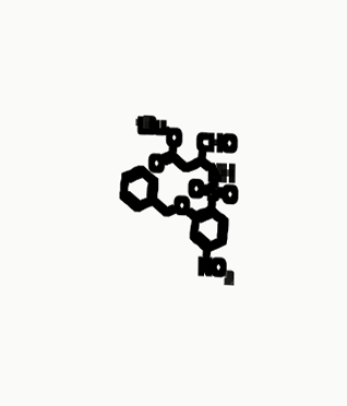 CC(C)(C)OC(=O)CC(C=O)NS(=O)(=O)c1ccc([N+](=O)[O-])cc1OCc1ccccc1